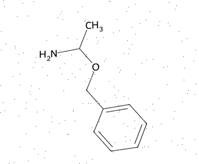 CC(N)OCc1ccccc1